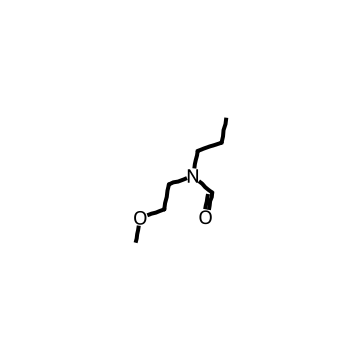 CCCN(C=O)CCOC